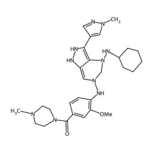 COc1cc(C(=O)N2CCN(C)CC2)ccc1NN1C=C2NNC(c3cnn(C)c3)=C2N(NC2CCCCC2)C1